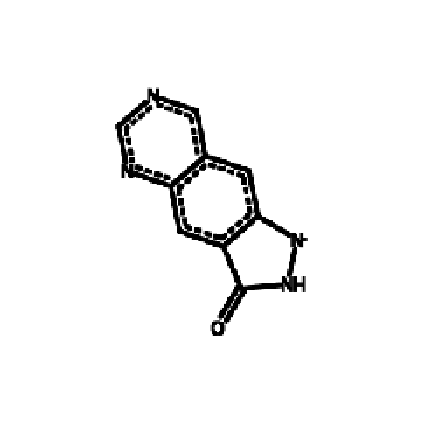 O=C1N[N]c2cc3cncnc3cc21